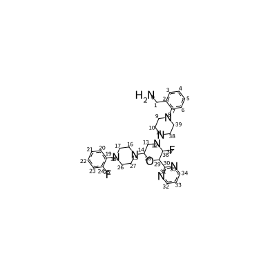 NCc1ccccc1N1CCN(N2CC(N3CCN(c4ccccc4F)CC3)OC(c3ncccn3)C2F)CC1